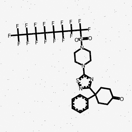 O=C1CCC(c2ccccc2)(c2nsc(N3CCN(S(=O)(=O)C(F)(F)C(F)(F)C(F)(F)C(F)(F)C(F)(F)C(F)(F)C(F)(F)C(F)(F)F)CC3)n2)CC1